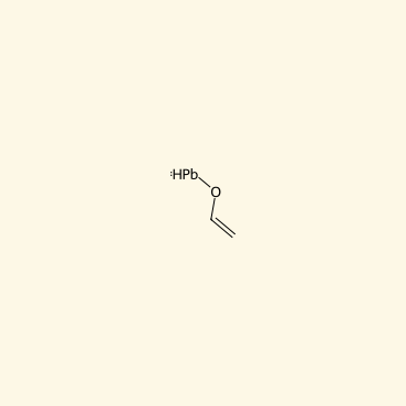 C=C[O][PbH]